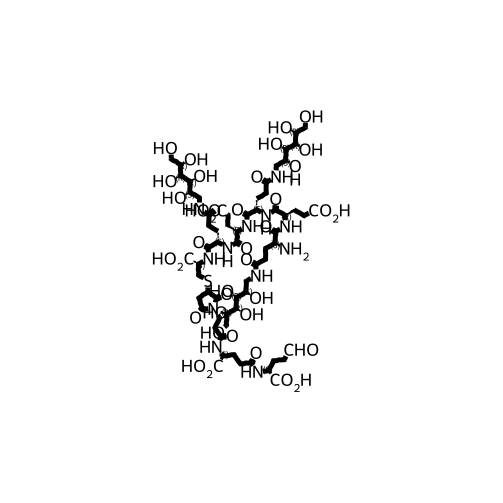 N[C@@H](CCC(=O)NC[C@H](O)[C@@H](O)[C@H](O)[C@H](O)CO)C(=O)N[C@H](CCC(=O)O)C(=O)N[C@@H](CCC(=O)NC[C@H](O)[C@@H](O)[C@H](O)[C@H](O)CO)C(=O)N[C@H](CCC(=O)O)C(=O)N[C@@H](CCC(=O)NC[C@H](O)[C@@H](O)[C@H](O)[C@H](O)CO)C(=O)N[C@H](CSC1CC(=O)N(CCC(=O)N[C@@H](CCC(=O)N[C@@H](CCC=O)C(=O)O)C(=O)O)C1=O)C(=O)O